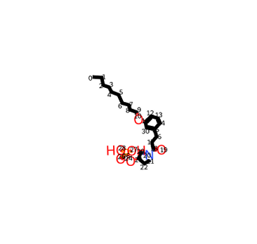 CCCCCCCCCCOc1cccc(CCC(=O)N2CC[C@@H](OP(=O)(O)O)C2)c1